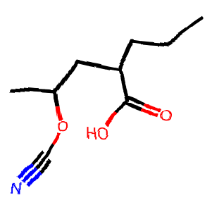 CCCC(CC(C)OC#N)C(=O)O